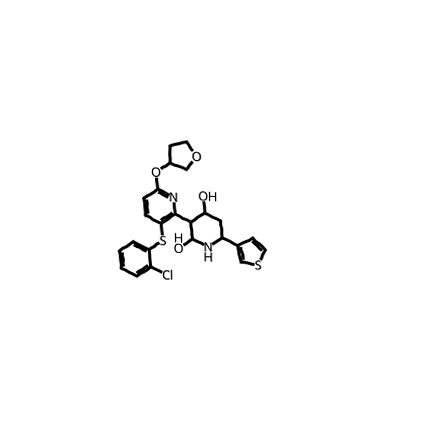 OC1CC(c2ccsc2)NC(O)C1c1nc(OC2CCOC2)ccc1Sc1ccccc1Cl